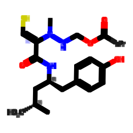 CCCC(=O)OCNN(C)/C(=C\S)C(=O)N[C@@H](Cc1ccc(O)cc1)C[C@H](C)C(=O)O